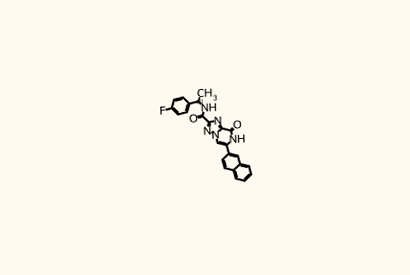 C[C@@H](NC(=O)c1nc2c(=O)[nH]c(-c3ccc4ccccc4c3)cn2n1)c1ccc(F)cc1